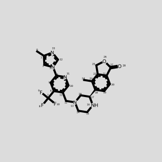 Cc1cn(-c2cc(C(F)(F)F)c(CN3CCN[C@H](c4ccc5c(c4C)COC5=O)C3)cn2)cn1